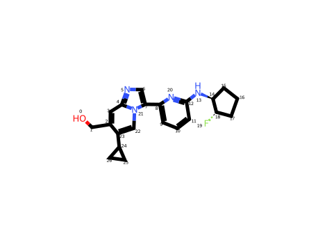 OCc1cc2ncc(-c3cccc(N[C@H]4CCC[C@@H]4F)n3)n2cc1C1CC1